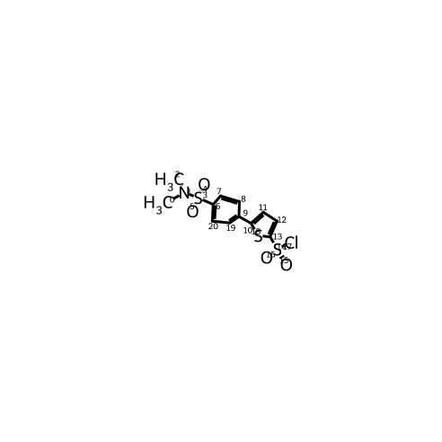 CN(C)S(=O)(=O)c1ccc(-c2ccc(S(=O)(=O)Cl)s2)cc1